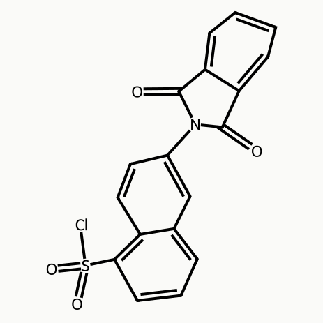 O=C1c2ccccc2C(=O)N1c1ccc2c(S(=O)(=O)Cl)cccc2c1